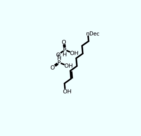 CCCCCCCCCCCCCCCC=CCO.O=[PH](O)O[PH](=O)O